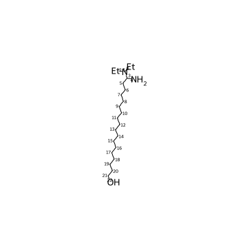 CCN(CC)C(N)CCCCCCCCCCCCCCCCCO